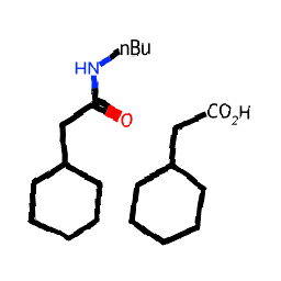 CCCCNC(=O)CC1CCCCC1.O=C(O)CC1CCCCC1